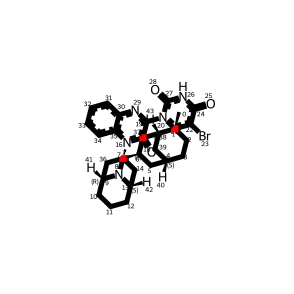 C[C@H]1CC[C@@H]2C[C@@H](CN3[C@@H]4CCC[C@H]3C[C@@H](n3c(=O)c(-n5cc(Br)c(=O)[nH]c5=O)nc5ccccc53)C4)C[C@H]1C2